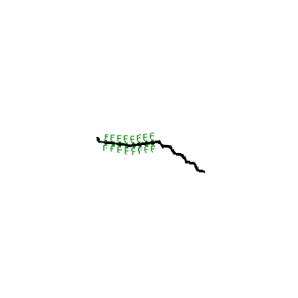 CCCCCCCCCC(F)(F)C(F)(F)C(F)(F)C(F)(F)C(F)(F)C(F)(F)C(F)(F)C(F)(F)CC